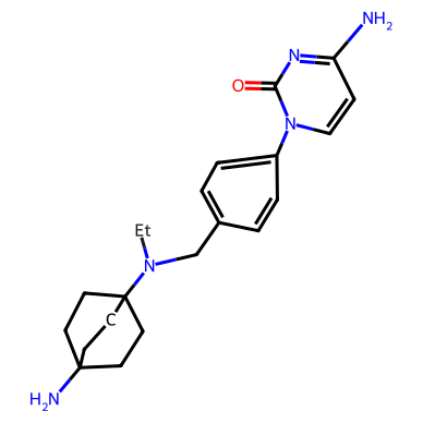 CCN(Cc1ccc(-n2ccc(N)nc2=O)cc1)C12CCC(N)(CC1)CC2